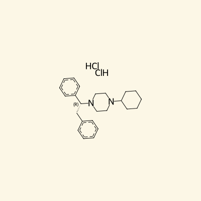 Cl.Cl.c1ccc(C[C@H](c2ccccc2)N2CCN(C3CCCCC3)CC2)cc1